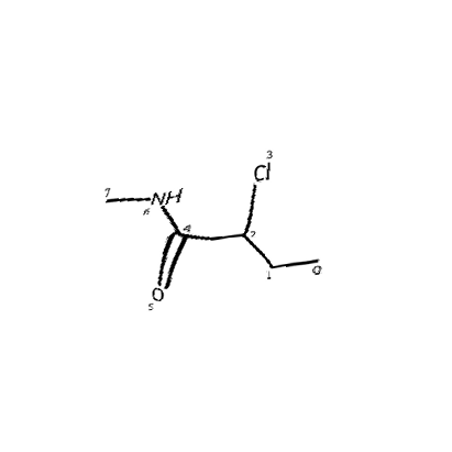 CCC(Cl)C(=O)NC